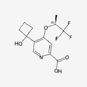 C[C@H](Oc1cc(C(=O)O)ncc1C1(O)CCC1)C(F)(F)F